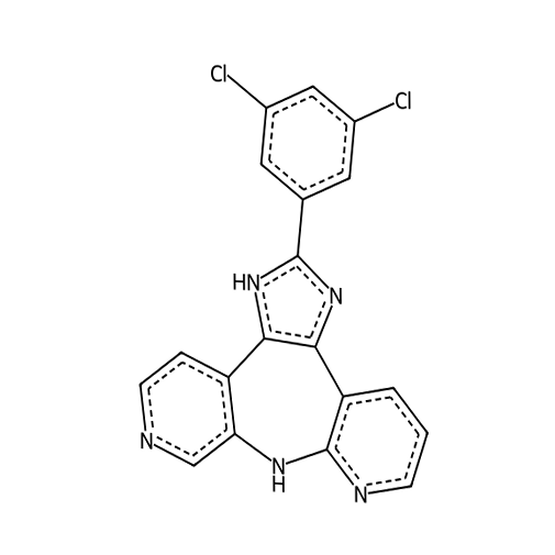 Clc1cc(Cl)cc(-c2nc3c([nH]2)-c2ccncc2Nc2ncccc2-3)c1